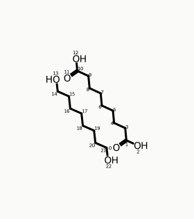 O=C(O)CCCCCCCC(=O)O.OCCCCCCCCO